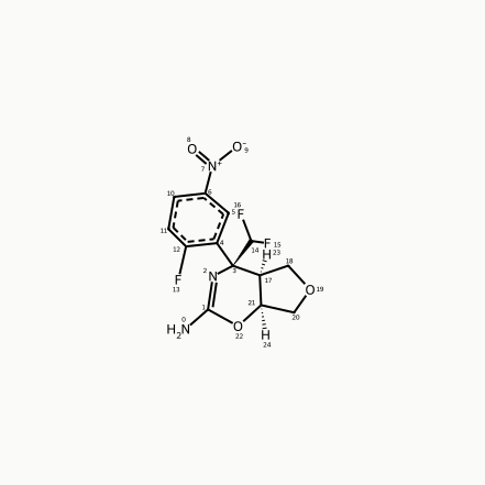 NC1=N[C@@](c2cc([N+](=O)[O-])ccc2F)(C(F)F)[C@H]2COC[C@H]2O1